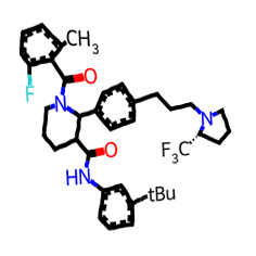 Cc1cccc(F)c1C(=O)N1CCCC(C(=O)Nc2cccc(C(C)(C)C)c2)C1c1ccc(CCCN2CCC[C@@H]2C(F)(F)F)cc1